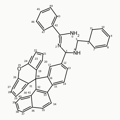 N/C(=N\C(NCC1C=CC=CC1)c1ccc2c(c1)C1(c3ccccc3Oc3ccccc31)c1c-2ccc2ccccc12)c1ccccc1